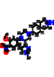 COc1cc(N2CCN(C3CCC4(CCNCC4)CC3)CC2)c(-c2cnn(C)c2)cc1[N+](=O)[O-]